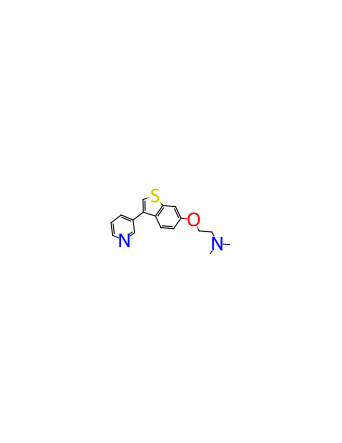 CN(C)CCOc1ccc2c(-c3cccnc3)csc2c1